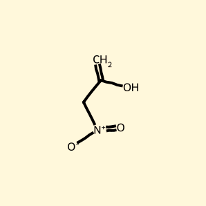 C=C(O)C[N+](=O)[O-]